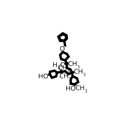 CC1(O)CCC(C(C)(CCC(C)(C)C2CCC(O)CC2)CCC(C)(C)C2CCC(OCc3ccccc3)CC2)CC1